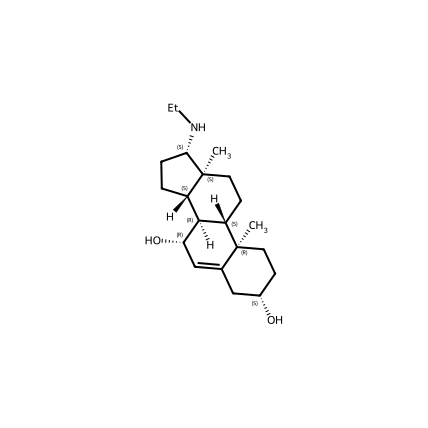 CCN[C@H]1CC[C@H]2[C@@H]3[C@@H](O)C=C4C[C@@H](O)CC[C@]4(C)[C@H]3CC[C@]12C